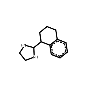 c1ccc2c(c1)CCCC2C1NCCN1